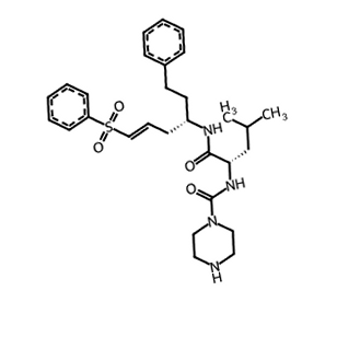 CC(C)C[C@H](NC(=O)N1CCNCC1)C(=O)N[C@H](C/C=C/S(=O)(=O)c1ccccc1)CCc1ccccc1